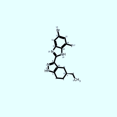 CC[C@H]1CCc2[nH]nc(-c3nc4cc(Br)cc(F)c4[nH]3)c2C1